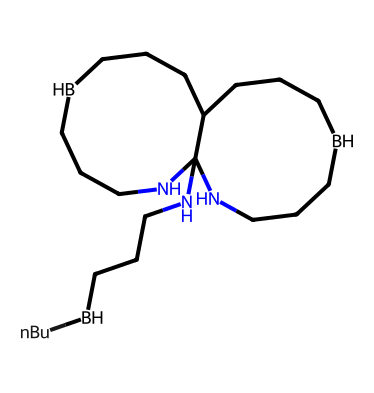 CCCCBCCCNC12NCCCBCCCC1CCCBCCCN2